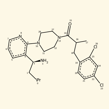 CC(C)C[C@H](N)c1cccnc1N1CCN(C(=O)C(C)Cc2ccc(Cl)cc2Cl)CC1